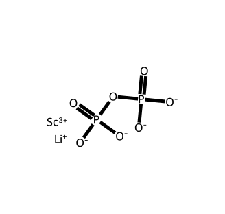 O=P([O-])([O-])OP(=O)([O-])[O-].[Li+].[Sc+3]